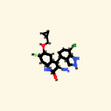 Nc1c(-c2ccc(Cl)c3[nH]ncc23)c2cc(OCC3CC3)c(F)cc2[nH]c1=O